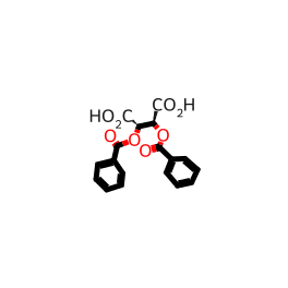 O=C(O[C@H](C(=O)O)[C@H](OC(=O)c1ccccc1)C(=O)O)c1ccccc1